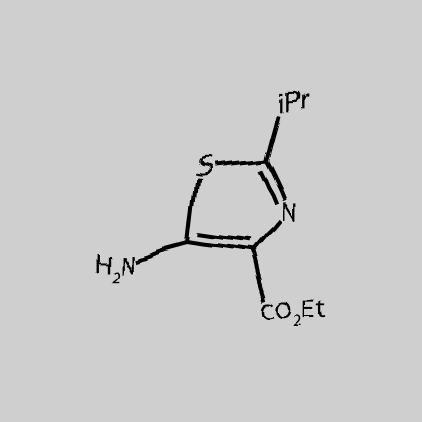 CCOC(=O)c1nc(C(C)C)sc1N